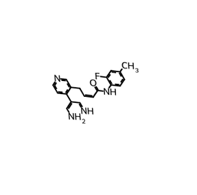 Cc1ccc(NC(=O)/C=C\Cc2cnccc2/C(C=N)=C/N)c(F)c1